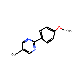 CCCCCCCCc1cnc(-c2ccc(OCCCCCCC)cc2)nc1